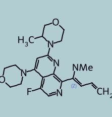 C=C/C=C(\NC)c1ncc(F)c2c(N3CCOCC3)cc(N3CCOCC3C)nc12